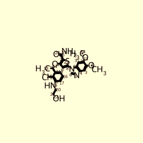 COc1cc2ncn(-c3cc(O[C@H](C)c4cccc(NCCO)c4Cl)c(C(N)=O)s3)c2cc1OC